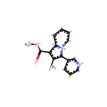 COC(=O)c1c(C)c(-c2cccnc2)n2ccccc12